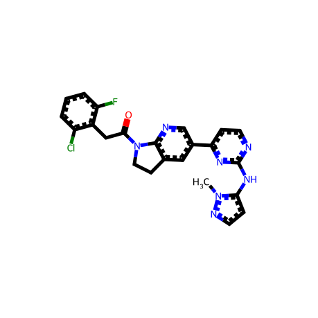 Cn1nccc1Nc1nccc(-c2cnc3c(c2)CCN3C(=O)Cc2c(F)cccc2Cl)n1